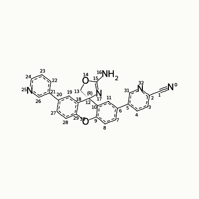 N#Cc1ccc(-c2ccc3c(c2)[C@@]2(COC(N)=N2)c2cc(-c4cccnc4)ccc2O3)cn1